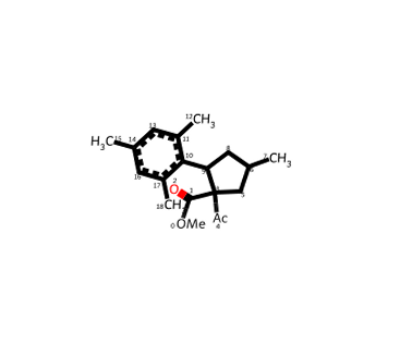 COC(=O)C1(C(C)=O)CC(C)CC1c1c(C)cc(C)cc1C